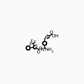 N/C(=N/OC(=O)c1cc(-c2ccccc2)c(C(F)(F)F)s1)c1ccc(CN2CC(C(=O)O)C2)cc1